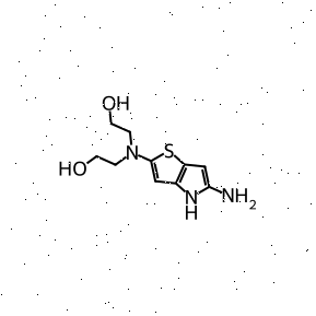 Nc1cc2sc(N(CCO)CCO)cc2[nH]1